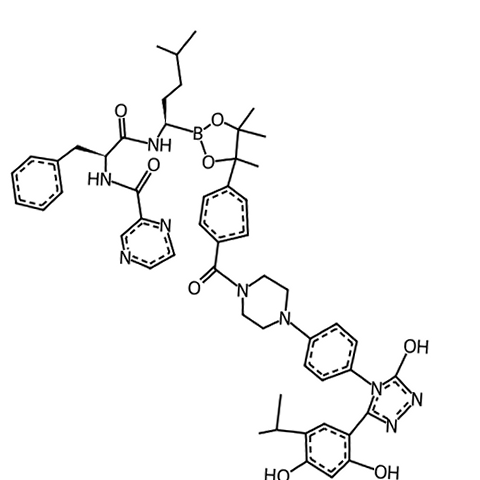 CC(C)CC[C@H](NC(=O)[C@H](Cc1ccccc1)NC(=O)c1cnccn1)B1OC(C)(C)C(C)(c2ccc(C(=O)N3CCN(c4ccc(-n5c(O)nnc5-c5cc(C(C)C)c(O)cc5O)cc4)CC3)cc2)O1